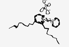 CCCCCCCc1ccc[n+](-[n+]2ccccc2)c1CCCCCCC.O=S(=O)([O-])[O-]